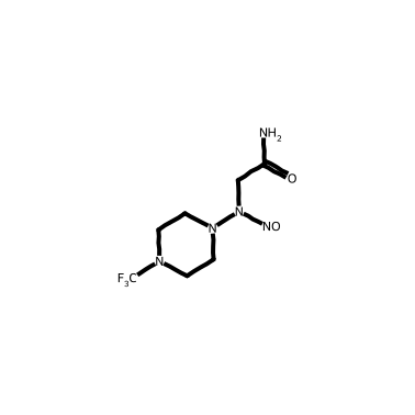 NC(=O)CN(N=O)N1CCN(C(F)(F)F)CC1